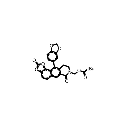 CC(C)(C)C(=O)OCN1CCc2c(cc3ccc4oc(=O)oc4c3c2-c2ccc3c(c2)OCO3)C1=O